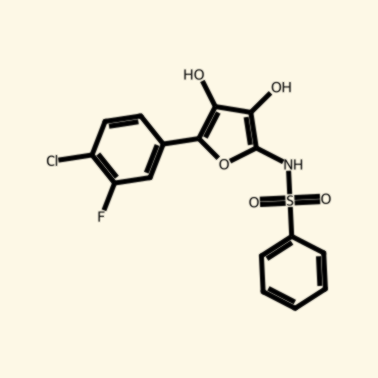 O=S(=O)(Nc1oc(-c2ccc(Cl)c(F)c2)c(O)c1O)c1ccccc1